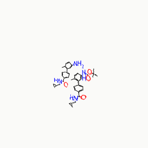 Cc1ccc(N)cc1-c1ccc(C(=O)NCC2CC2)cc1.Cc1ccc(NC(=O)OC(C)(C)C)cc1-c1ccc(C(=O)NCC2CC2)cc1